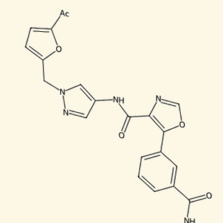 CC(=O)c1ccc(Cn2cc(NC(=O)c3ncoc3-c3cccc(C(N)=O)c3)cn2)o1